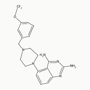 Nc1nc(N)c2c(N3CCN(Cc4cccc(OC(F)(F)F)c4)CC3)cccc2n1